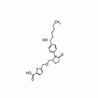 CCCCC[C@@H](O)c1ccc(N2C(=O)CCC2COCc2ccc(C(=O)O)s2)cc1